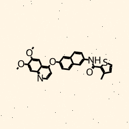 COc1cc2nccc(Oc3ccc4cc(NC(=O)c5sccc5C)ccc4c3)c2cc1OC